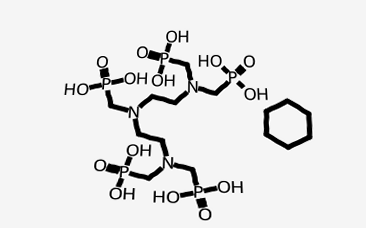 C1CCCCC1.O=P(O)(O)CN(CCN(CP(=O)(O)O)CP(=O)(O)O)CCN(CP(=O)(O)O)CP(=O)(O)O